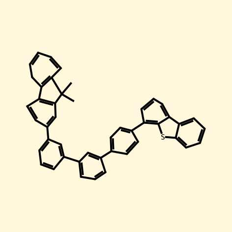 CC1(C)C2=C(CC=CC=C2)c2ccc(-c3cccc(-c4cccc(-c5ccc(-c6cccc7c6sc6ccccc67)cc5)c4)c3)cc21